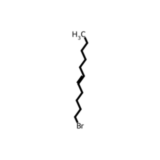 CCCCCC=CCCCCBr